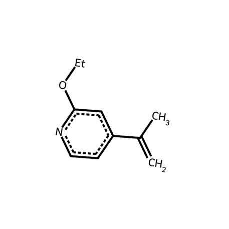 C=C(C)c1ccnc(OCC)c1